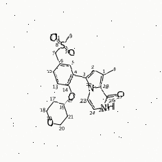 Cc1cc(-c2cc(CS(C)(=O)=O)ccc2OC2CCOCC2)n2cc[nH]c(=O)c12